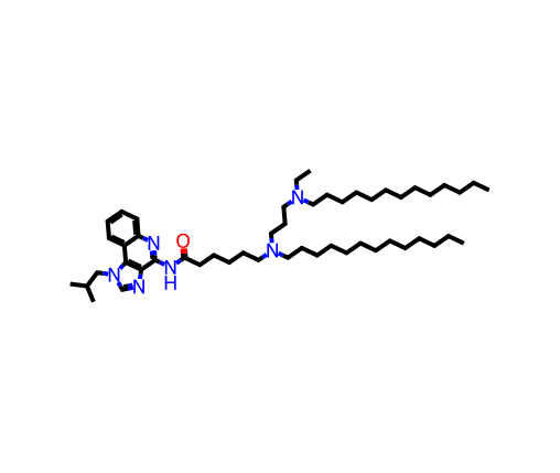 CCCCCCCCCCCCCN(CC)CCCN(CCCCCCCCCCCCC)CCCCCC(=O)Nc1nc2ccccc2c2c1ncn2CC(C)C